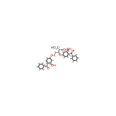 CCCCCCCCC(C(=O)O)C(CCOc1ccc(C(=O)c2ccccc2)c(O)c1)Oc1ccc(C(=O)c2ccccc2)c(O)c1